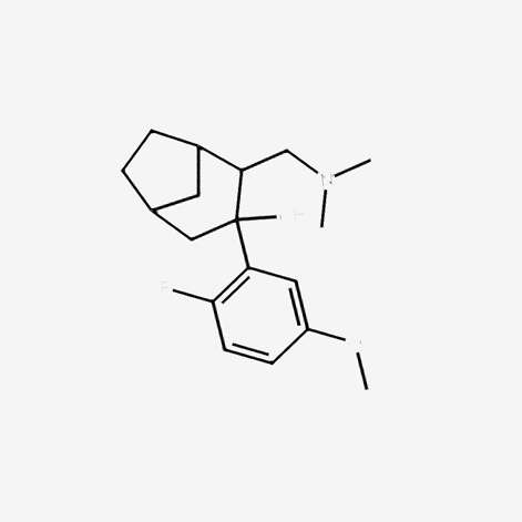 COc1ccc(F)c(C2(O)CC3CCC(C3)C2CN(C)C)c1